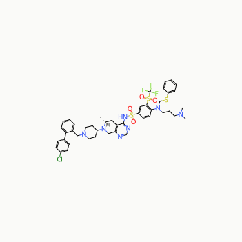 C[C@@H]1Cc2c(ncnc2NS(=O)(=O)c2ccc(N(CCCN(C)C)CSc3ccccc3)c(S(=O)(=O)C(F)(F)F)c2)CN1C1CCN(Cc2ccccc2-c2ccc(Cl)cc2)CC1